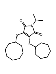 CC(C)N1C(=O)C(SC2CCCCCCC2)=C(SC2CCCCCC2)C1=O